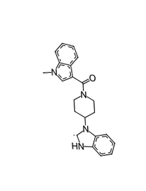 Cn1cc(C(=O)N2CCC(N3[CH]Nc4ccccc43)CC2)c2ccccc21